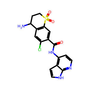 NC1CCS(=O)(=O)c2cc(C(=O)Nc3ccnc4[nH]ccc34)c(Cl)cc21